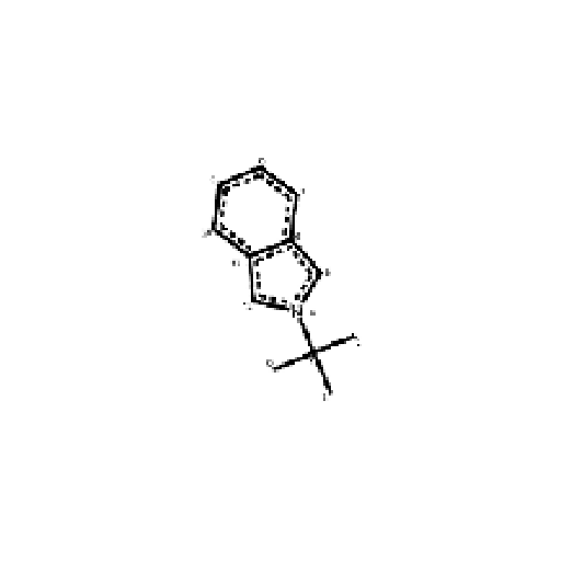 CC(C)(C)n1cc2ccccc2c1